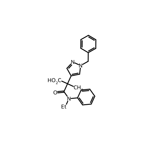 CCN(C(=O)C(C)(C(=O)O)c1cnn(Cc2ccccc2)c1)c1ccccc1